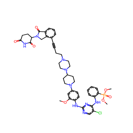 COc1cc(N2CCC(N3CCN(CCC#Cc4cccc5c4CN(C4CCC(=O)NC4=O)C5=O)CC3)CC2)ccc1Nc1ncc(Cl)c(Nc2ccccc2P(=O)(OC)OC)n1